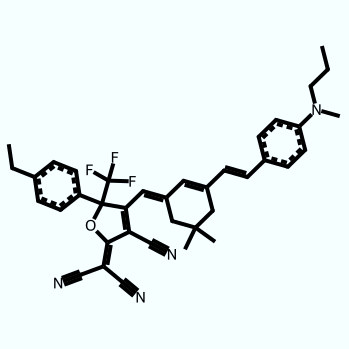 CCCN(C)c1ccc(/C=C/C2=CC(=C/C3=C(C#N)C(=C(C#N)C#N)OC3(c3ccc(CC)cc3)C(F)(F)F)/CC(C)(C)C2)cc1